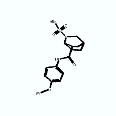 CCCCS(=O)(=O)N1CC2CCC1C(C(=O)Nc1ccc(OC(C)C)cc1)C2